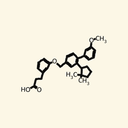 COc1cccc(-c2ccc(COc3cccc(CCC(=O)O)c3)cc2C2CCCC2(C)C)c1